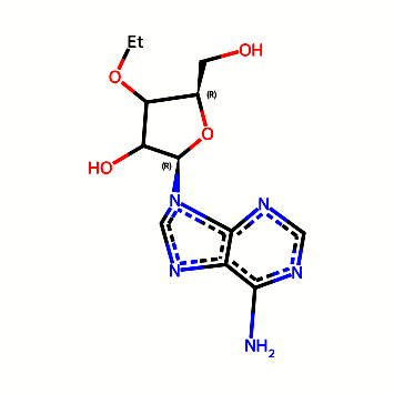 CCOC1C(O)[C@H](n2cnc3c(N)ncnc32)O[C@@H]1CO